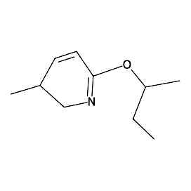 CCC(C)OC1=NCC(C)C=C1